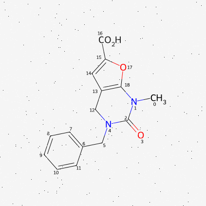 CN1C(=O)N(Cc2ccccc2)Cc2cc(C(=O)O)oc21